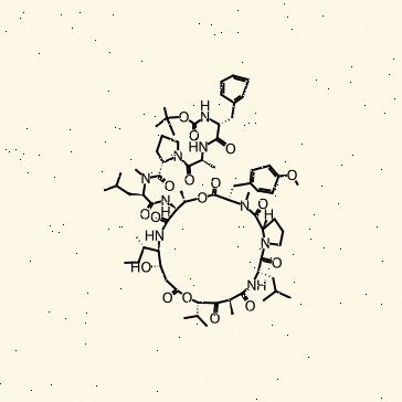 CC[C@H](C)[C@H]1NC(=O)[C@@H](NC(=O)[C@@H](CC(C)C)N(C)C(=O)[C@@H]2CCCN2C(=O)[C@H](C)NC(=O)[C@@H](Cc2ccccc2)NC(=O)OC(C)(C)C)[C@@H](C)OC(=O)[C@H](Cc2ccc(OC)cc2)N(C)C(=O)[C@@H]2CCCN2C(=O)[C@H](CC(C)C)NC(=O)[C@@H](C)C(=O)[C@H](C(C)C)OC(=O)C[C@@H]1O